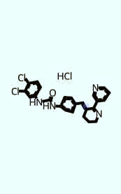 Cl.O=C(Nc1ccc(/C=C2\CCCN=C2c2cccnc2)cc1)Nc1ccc(Cl)c(Cl)c1